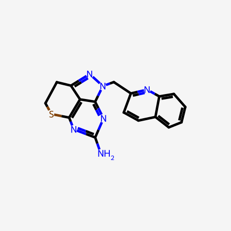 Nc1nc2c3c(nn(Cc4ccc5ccccc5n4)c3n1)CCS2